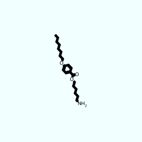 CCCCCCCCOc1ccc(C(=O)OCCCCCCN)cc1